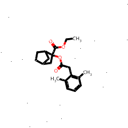 CCOC(=O)C1(OC(=O)Cc2c(C)cccc2C)CC2CCC1C2